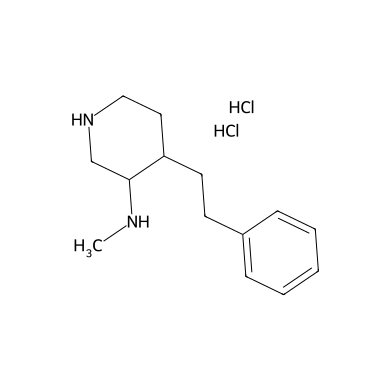 CNC1CNCCC1CCc1ccccc1.Cl.Cl